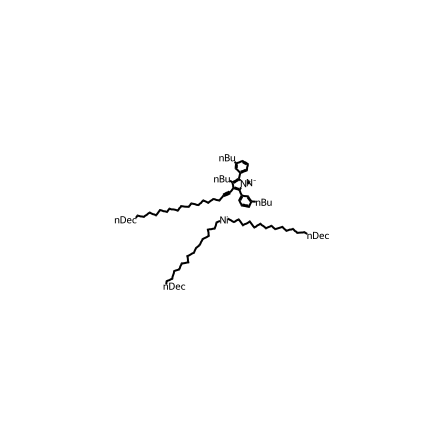 CCCCCCCCCCCCCCCCCCCCCCCCCCC#CC1=C(c2cccc(CCCC)c2)[N+](=[N-])C(c2cccc(CCCC)c2)=C1CCCC.CCCCCCCCCCCCCCCCCCCCCCCC[CH2][Ni][CH2]CCCCCCCCCCCCCCCCCCCCCCCC